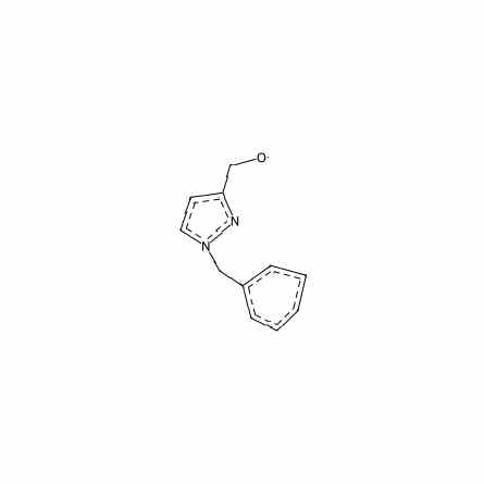 [O]Cc1ccn(Cc2ccccc2)n1